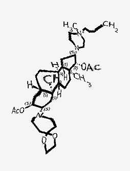 C=CC[N+]1(C)CCN([C@H]2C[C@H]3[C@@H]4CC[C@H]5C[C@H](OC(C)=O)[C@@H](N6CCC7(CC6)OCCO7)C[C@]5(C)[C@H]4CC[C@]3(C)[C@H]2OC(C)=O)CC1